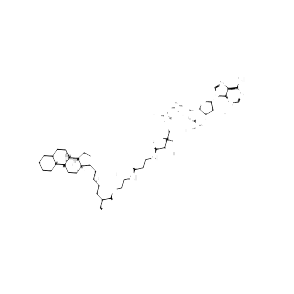 C[C@H](CCCC(C=O)C(=O)SCCNC(=O)CCNC(=O)[C@H](O)C(C)(C)COP(=O)(O)OP(=O)(O)OC[C@H]1O[C@@H](n2cnc3c(N)ncnc32)[C@H](O)[C@@H]1OP(=O)(O)O)[C@H]1CC[C@H]2[C@@H]3CCC4CCCC[C@]4(C)[C@H]3CC[C@]12C